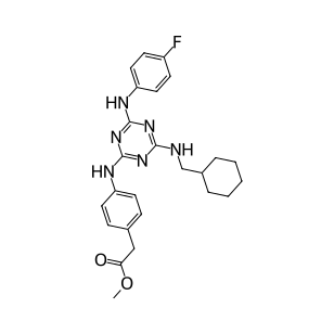 COC(=O)Cc1ccc(Nc2nc(NCC3CCCCC3)nc(Nc3ccc(F)cc3)n2)cc1